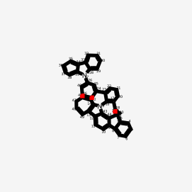 CC1(C)c2ccccc2-c2ccc3c4c(n(-c5c(C#N)cccc5C5=CC(n6c7ccccc7c7ccccc76)=CCC5)c3c21)C#CCC=C4